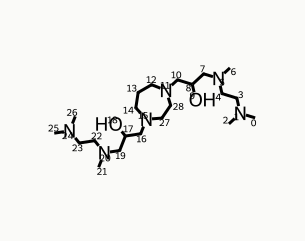 CN(C)CCN(C)CC(O)CN1CCCN(CC(O)CN(C)CCN(C)C)CC1